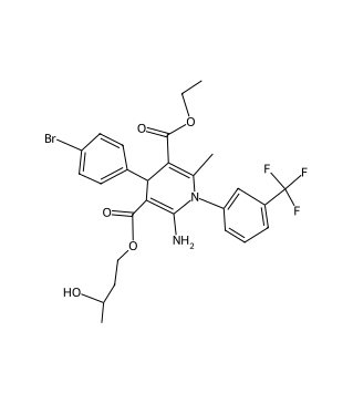 CCOC(=O)C1=C(C)N(c2cccc(C(F)(F)F)c2)C(N)=C(C(=O)OCCC(C)O)C1c1ccc(Br)cc1